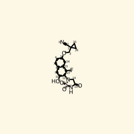 N#CC1(COc2ccc3cc(O)c(N4CC(=O)NS4(=O)=O)c(F)c3c2)CC1